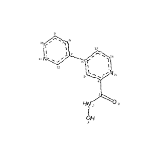 O=C(NO)c1cc(-c2cccnc2)ccn1